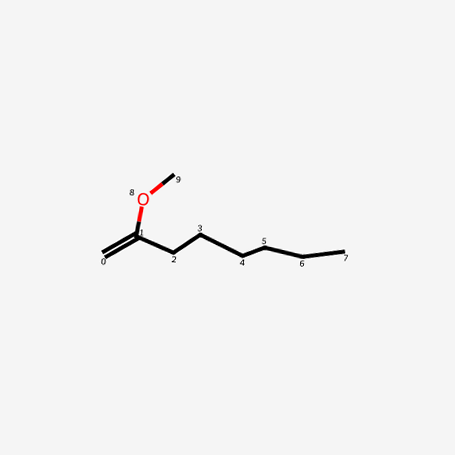 C=C(CCCCCC)OC